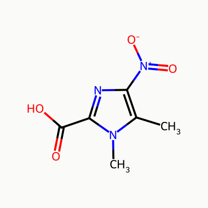 Cc1c([N+](=O)[O-])nc(C(=O)O)n1C